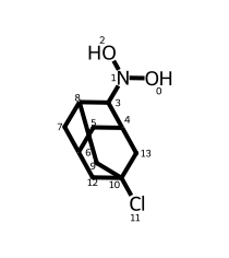 ON(O)C1C2CC3CC1CC(Cl)(C3)C2